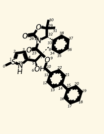 CS1=CC=C([C@H](O)[C@](C)(OCc2ccc(-c3ccccc3)cc2)C(=O)N2C(=O)OC(C)(C)[C@@H]2c2ccccc2)N1